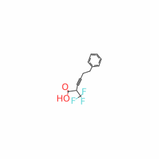 O=C(O)C(C#CCCc1ccccc1)C(F)(F)F